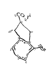 O=C(O)C1Cc2cccc(Br)c2C1